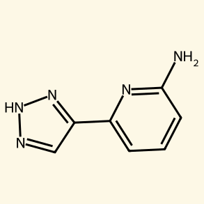 Nc1cccc(-c2cn[nH]n2)n1